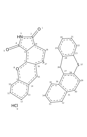 Cl.O=c1[nH]c(=O)c2c3oc4ccccc4cc-3scc1-2.c1ccc2c(c1)Cc1c(ccc3ccccc13)S2